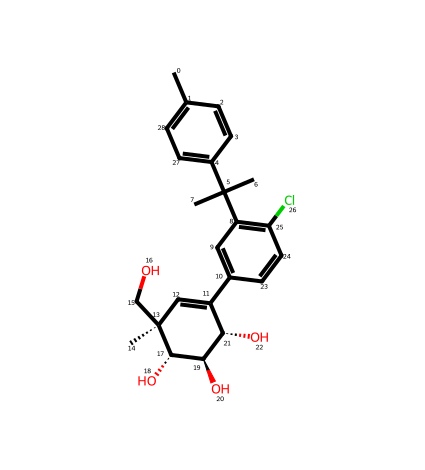 Cc1ccc(C(C)(C)c2cc(C3=C[C@](C)(CO)[C@@H](O)[C@H](O)[C@H]3O)ccc2Cl)cc1